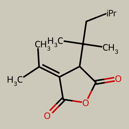 CC(C)=C1C(=O)OC(=O)C1C(C)(C)CC(C)C